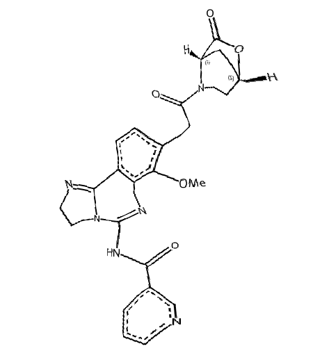 COc1c(CC(=O)N2C[C@@H]3C[C@H]2C(=O)O3)ccc2c1N=C(NC(=O)c1cccnc1)N1CCN=C21